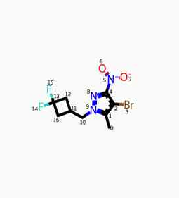 Cc1c(Br)c([N+](=O)[O-])nn1CC1CC(F)(F)C1